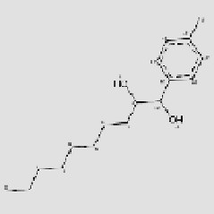 CCCCCCCCC(O)C(O)c1ccc(C)cc1